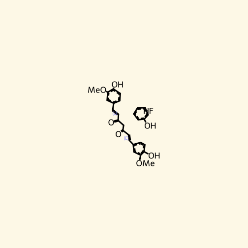 COc1cc(/C=C/C(=O)CC(=O)/C=C/c2ccc(O)c(OC)c2)ccc1O.F.Oc1ccccc1